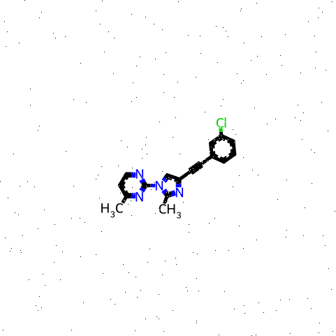 Cc1ccnc(-n2cc(C#Cc3cccc(Cl)c3)nc2C)n1